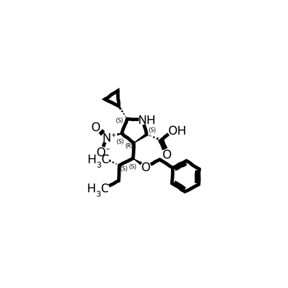 CC[C@H](C)[C@H](OCc1ccccc1)[C@H]1[C@H]([N+](=O)[O-])[C@H](C2CC2)N[C@@H]1C(=O)O